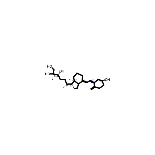 C=C1CC[C@H](O)C/C1=C/C=C1CCC[C@@]2(C)C1CC[C@@H]2[C@H](C)CC[C@@H](O)[C@@](C)(O)CO